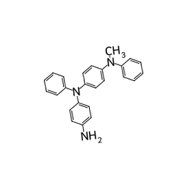 CN(c1ccccc1)c1ccc(N(c2ccccc2)c2ccc(N)cc2)cc1